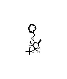 C=C1O[C@@H]2OC(C)(C)O[C@@H]2[C@H]1OCc1ccccc1